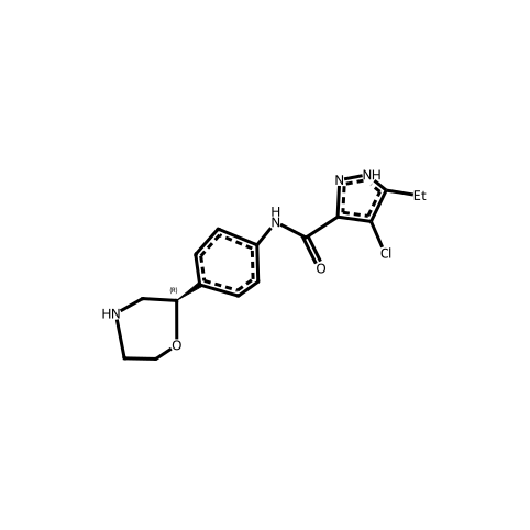 CCc1[nH]nc(C(=O)Nc2ccc([C@@H]3CNCCO3)cc2)c1Cl